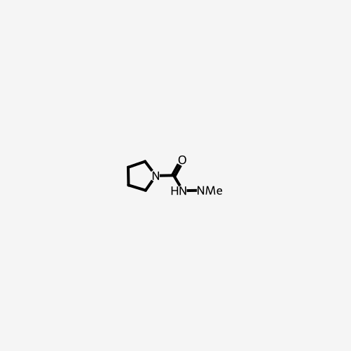 CNNC(=O)N1CCCC1